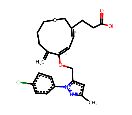 C=C1CCCCC/C(CCC(=O)O)=C\C=C/1OCc1cc(C)nn1-c1ccc(Cl)cc1